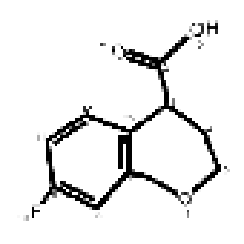 O=C(O)C1CCOc2cc(F)ccc21